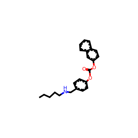 CCCCCNCc1ccc(OC(=O)Oc2ccc3ccccc3c2)cc1